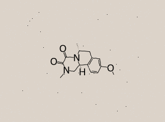 COc1ccc2c(c1)C[C@@H](C)N1C(=O)C(=O)N(C)C[C@H]21